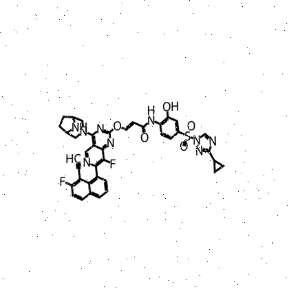 C#Cc1c(F)ccc2cccc(-c3ncc4c(N5CC6CCC(C5)N6)nc(OC=CC(=O)Nc5ccc(S(=O)(=O)n6cnc(C7CC7)n6)cc5O)nc4c3F)c12